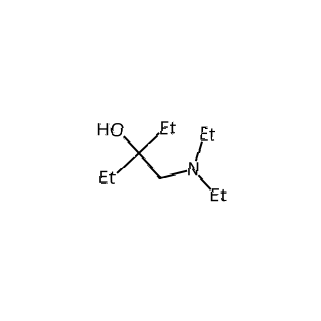 CCN(CC)CC(O)(CC)CC